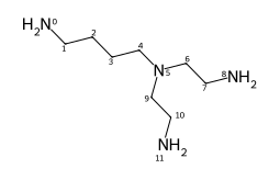 NCCCCN(CCN)CCN